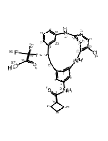 O=C(Nc1cc2cc(c1)Nc1nc(ncc1Cl)Nc1cccc(c1)CC2)C1CCC1.O=C(O)C(F)(F)F